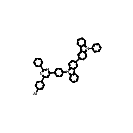 CCC(C)c1ccc(-c2cc(-c3ccc(-n4c5ccccc5c5cc(-c6ccc7c(c6)c6ccccc6n7-c6ccccc6)ccc54)cc3)nc(-c3ccccc3)n2)cc1